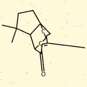 C/C1=C/C(=O)C2CCCC3(CC1)CCC(C)(C)C23